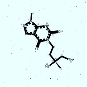 Cn1ncc2c(=O)n(CC[C@@](C)(S)CS)c(=O)[nH]c21